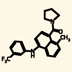 Cc1cccc2c(Nc3cccc(C(F)(F)F)c3)ccc(C(=O)N3CCCC3)c12